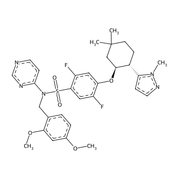 COc1ccc(CN(c2ccncn2)S(=O)(=O)c2cc(F)c(O[C@H]3CC(C)(C)CC[C@@H]3c3ccnn3C)cc2F)c(OC)c1